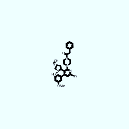 C#N.COc1cccc(-c2cc(C(C)C)nc(N3CCN(C(=O)Cc4ccccc4)CC3)c2C2CCCN2C)c1